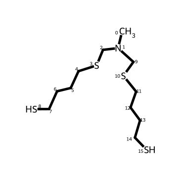 CN(CSCCCCS)CSCCCCS